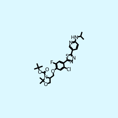 CC(C)Nc1ccc(-c2nnc(-c3cc(F)c(OCC4COC(C)(C)N4C(=O)OC(C)(C)C)cc3Cl)s2)cn1